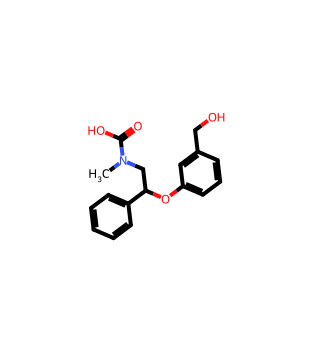 CN(CC(Oc1cccc(CO)c1)c1ccccc1)C(=O)O